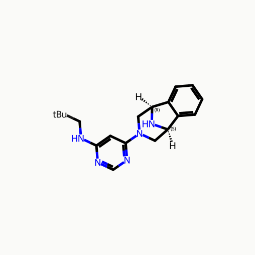 CC(C)(C)CNc1cc(N2C[C@@H]3N[C@H](C2)c2ccccc23)ncn1